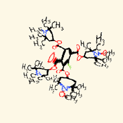 CON1C(C)(C)CC(OC(=O)c2cc(C(=O)OC3CC(C)(C)N(C)C(C)(C)C3)c(C(=O)OC3CC(C)(C)N(C)C(C)(C)C3)c(C(=O)OC3CC(C)(C)N(OC)C(C)(C)C3)c2F)CC1(C)C